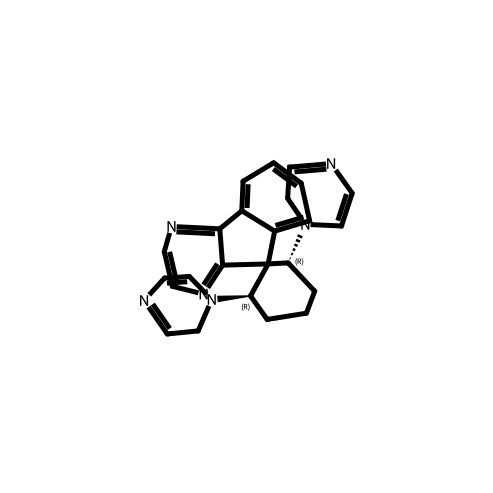 C1=CN([C@@H]2CCC[C@@H](N3C=CN=CC3)C23c2ccccc2-c2nccnc23)CC=N1